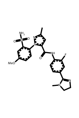 COc1ccc(-n2nc(C)cc2C(=O)Nc2ccc(C3=NCCN3C)cc2F)c(S(N)(=O)=O)c1